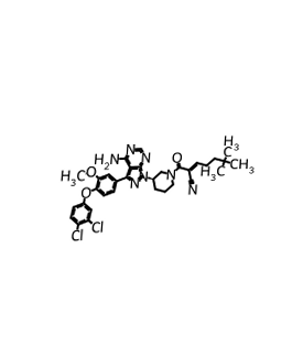 COc1cc(-c2nn([C@@H]3CCCN(C(=O)/C(C#N)=C/CCC(C)(C)C)C3)c3ncnc(N)c23)ccc1Oc1ccc(Cl)c(Cl)c1